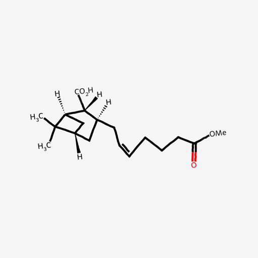 COC(=O)CCC/C=C\C[C@H]1C[C@H]2C[C@H]([C@@H]1C(=O)O)C2(C)C